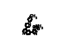 CN1CCN(c2ccc(-c3ccnc4ccc(-c5cncc(S(N)(=O)=O)c5)cc34)cn2)CC1